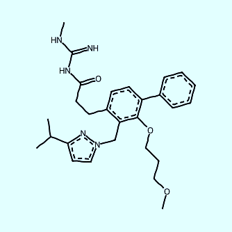 CNC(=N)NC(=O)CCc1ccc(-c2ccccc2)c(OCCCOC)c1Cn1ccc(C(C)C)n1